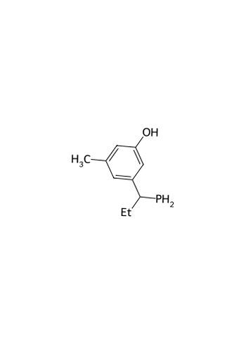 CCC(P)c1cc(C)cc(O)c1